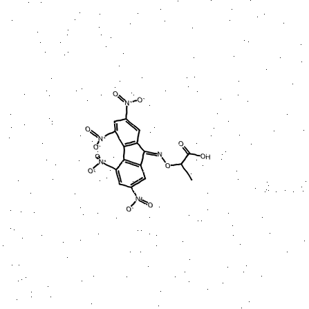 CC(ON=C1c2cc([N+](=O)[O-])cc([N+](=O)[O-])c2-c2c1cc([N+](=O)[O-])cc2[N+](=O)[O-])C(=O)O